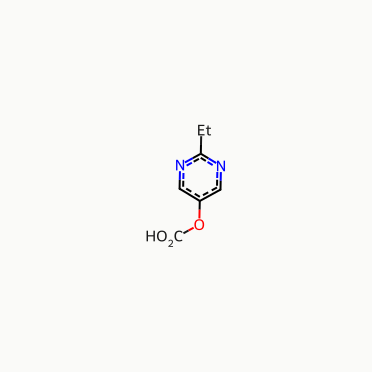 CCc1ncc(OC(=O)O)cn1